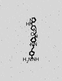 CN(C(=O)CN1CCC(Nc2ccccn2)CC1)c1ccc2c(c1)nc(CCc1ccc(C(=N)N)cc1)n2C